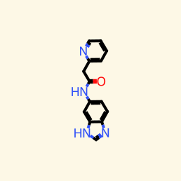 O=C(Cc1ccccn1)Nc1ccc2nc[nH]c2c1